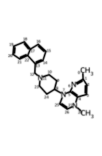 Cc1ccc2c(n1)N(C1CCN(Cc3cccc4ccccc34)CC1)C=CN2C